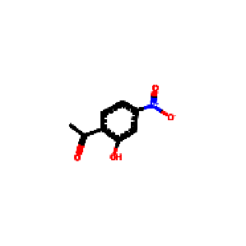 CC(=O)c1ccc([N+](=O)[O-])cc1O